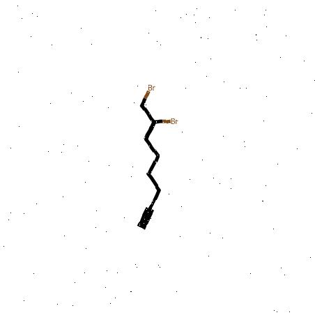 C#CCCCCC(Br)CBr